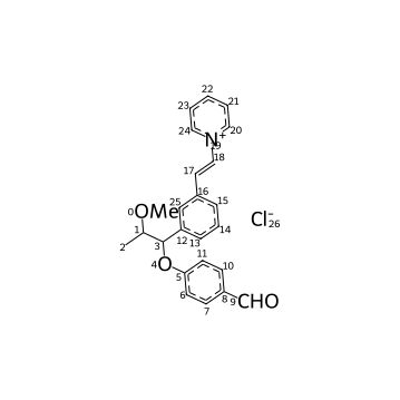 COC(C)C(Oc1ccc(C=O)cc1)c1cccc(C=C[n+]2ccccc2)c1.[Cl-]